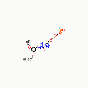 CCCCCCCCCCCCOc1cc(/C=N/NC(=O)n2cc(COCCOCCO[PH](=O)F)nn2)cc(OCCCCCCCCCCCC)c1